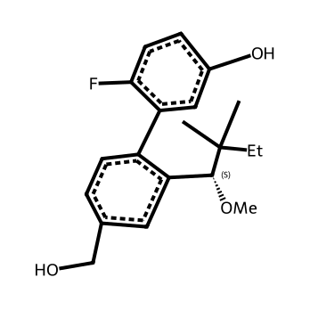 CCC(C)(C)[C@H](OC)c1cc(CO)ccc1-c1cc(O)ccc1F